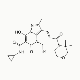 Cc1nn2c(O)c(C(=O)NC3CC3)c(=O)n(CC(C)C)c2c1C=CC(=O)N1CCOCC1(C)C